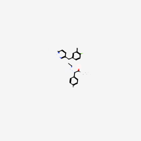 CNC(=O)[C@@H](NCC[C@@H](c1ccc(C(F)(F)F)nc1)c1ccc(F)c(C)c1)c1ccc(C(F)(F)F)cc1